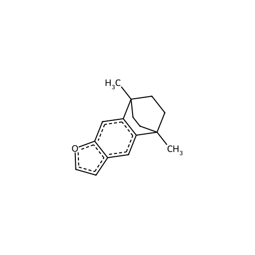 CC12CCC(C)(CC1)c1cc3occc3cc12